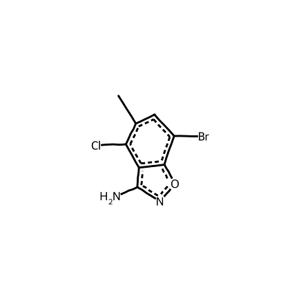 Cc1cc(Br)c2onc(N)c2c1Cl